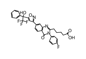 O=C(O)CCCCc1nc2cc(-c3cc(C(O)(c4ccccc4)C(F)(F)F)on3)ccc2c(=O)n1-c1ccc(F)cc1